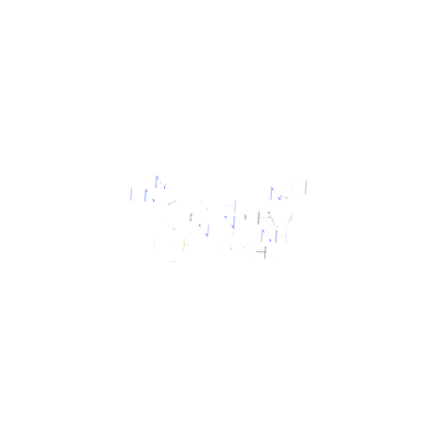 CC(C)(Nc1ccc(Cl)nc1)C(=O)Nc1nc2c(C(F)(F)F)cc3[nH]ncc3c2s1